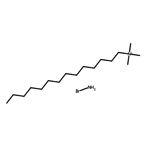 CCCCCCCCCCCCCC[N+](C)(C)C.NBr